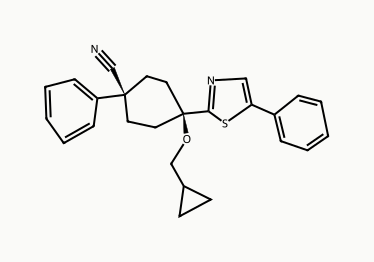 N#C[C@]1(c2ccccc2)CC[C@@](OCC2CC2)(c2ncc(-c3ccccc3)s2)CC1